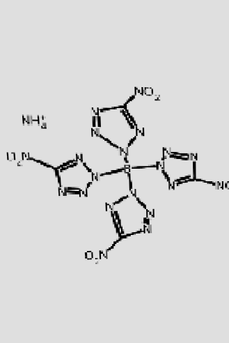 O=[N+]([O-])c1nnn([B-](n2nnc([N+](=O)[O-])n2)(n2nnc([N+](=O)[O-])n2)n2nnc([N+](=O)[O-])n2)n1.[NH4+]